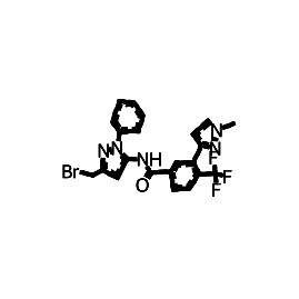 Cn1ccc(-c2cc(C(=O)Nc3cc(CBr)nn3-c3ccccc3)ccc2C(F)(F)F)n1